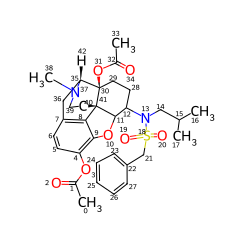 CC(=O)Oc1ccc2c3c1OC1C(N(CC(C)C)S(=O)(=O)Cc4ccccc4)CC[C@@]4(OC(C)=O)[C@@H](C2)N(C)CC[C@]314